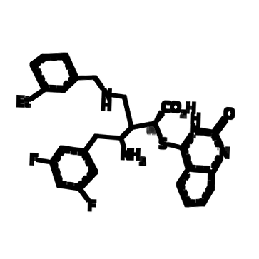 CCc1cccc(CNCC(C(N)Cc2cc(F)cc(F)c2)[C@H](Sc2[nH]c(=O)nc3ccccc23)C(=O)O)c1